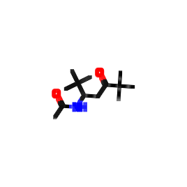 CC(=O)NC(CC(=O)C(C)(C)C)C(C)(C)C